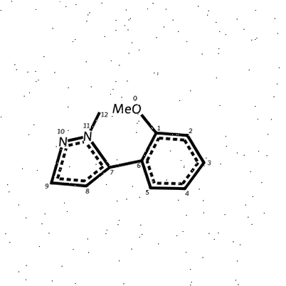 COc1ccccc1-c1ccnn1C